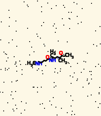 CCC(=O)/C(C)=C/C=C(\C)NC(=O)CCCCNC